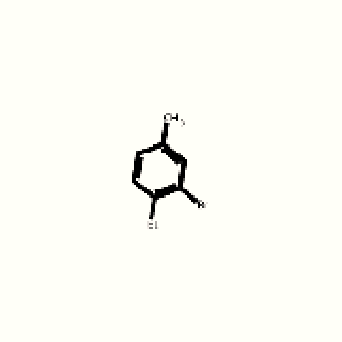 CCc1ccc(C)cc1Br